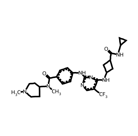 CN1CCC(N(C)C(=O)c2ccc(Nc3ncc(C(F)(F)F)c(NC4CC(C(=O)NC5CC5)C4)n3)cc2)CC1